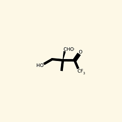 C[C@]([C]=O)(CO)C(=O)C(F)(F)F